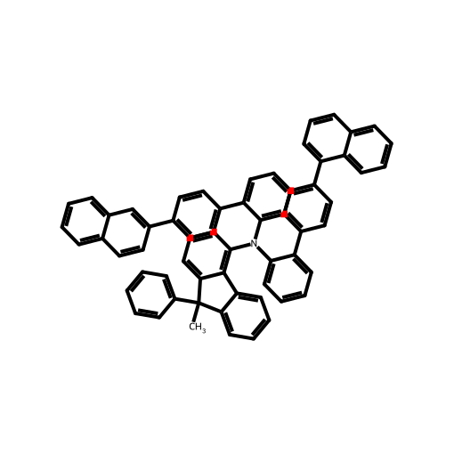 CC1(c2ccccc2)c2ccccc2-c2c(N(c3ccccc3-c3ccc(-c4ccc5ccccc5c4)cc3)c3ccccc3-c3ccc(-c4cccc5ccccc45)cc3)cccc21